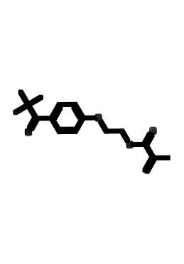 C=C(C)C(=O)OCCOc1ccc(C(=O)C(C)(C)C)cc1